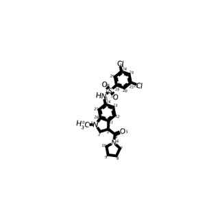 CN1CC(C(=O)N2CCCC2)c2ccc(NS(=O)(=O)c3cc(Cl)cc(Cl)c3)cc21